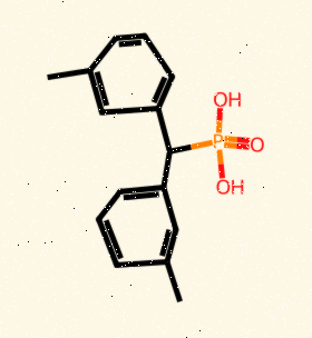 Cc1cccc(C(c2cccc(C)c2)P(=O)(O)O)c1